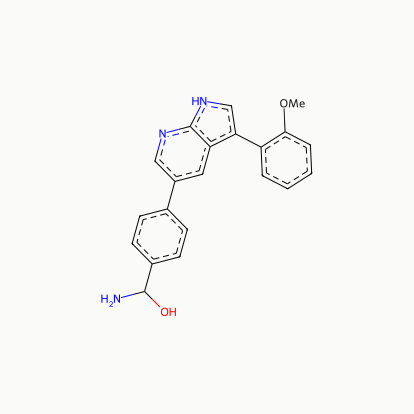 COc1ccccc1-c1c[nH]c2ncc(-c3ccc(C(N)O)cc3)cc12